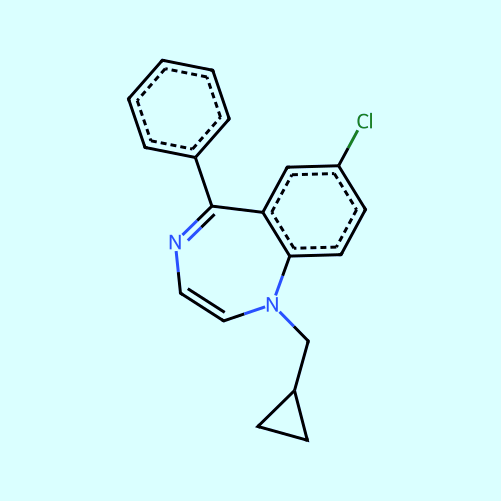 Clc1ccc2c(c1)C(c1ccccc1)=NC=CN2CC1CC1